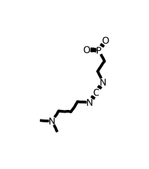 CN(C)CCCN=C=NCCP(=O)=O